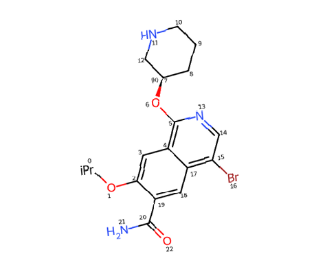 CC(C)Oc1cc2c(O[C@@H]3CCCNC3)ncc(Br)c2cc1C(N)=O